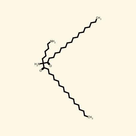 CCCCCCCCCCCCCCCCCC(=O)C(N)(CCCCCN)C(=O)CCCCCCCCCCCCCCCCC